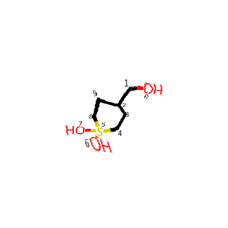 OCC1CCS(O)(O)CC1